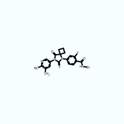 CCNC(=O)c1ccc(N2C(=S)N(c3cnc(C#N)c(C)c3)C(=O)C23CCC3)cc1F